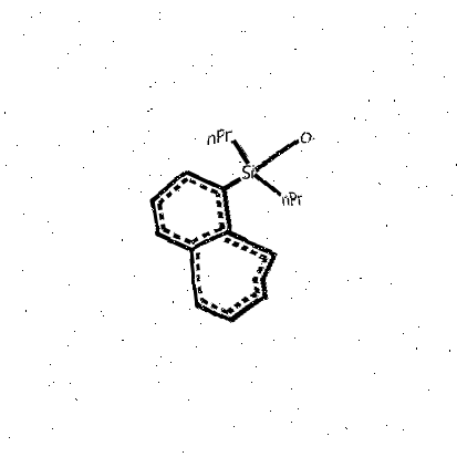 CCC[Si]([O])(CCC)c1cccc2ccccc12